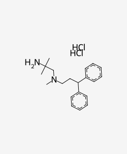 CN(CCC(c1ccccc1)c1ccccc1)CC(C)(C)N.Cl.Cl